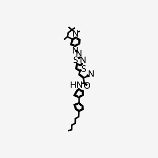 CCCCCCc1ccc(-c2ccc(NC(=O)/C(C#N)=C/c3cc4sc(/N=N/c5ccc6c(c5)C(C)CC(C)(C)N6C)nc4s3)cc2)cc1